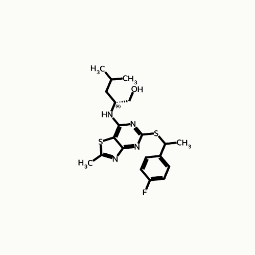 Cc1nc2nc(SC(C)c3ccc(F)cc3)nc(N[C@@H](CO)CC(C)C)c2s1